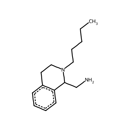 CCCCCN1CCc2ccccc2C1CN